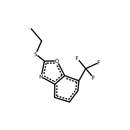 [CH2]CSc1nc2cccc(C(F)(F)F)c2o1